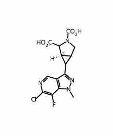 Cn1nc(C2C3CN(C(=O)O)C(C(=O)O)[C@@H]32)c2cnc(Cl)c(F)c21